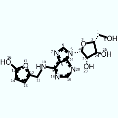 OC[C@H]1O[C@@H](n2cnc3c(NCc4ccc(O)o4)ncnc32)[C@@H](O)[C@@H]1O